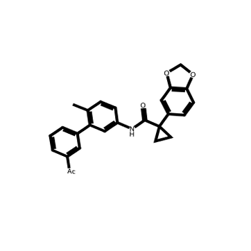 CC(=O)c1cccc(-c2cc(NC(=O)C3(c4ccc5c(c4)OCO5)CC3)ccc2C)c1